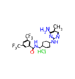 Cc1cnc(NC2CCC(CNC(=O)c3cc(C(F)(F)F)cc(C(F)(F)F)c3)CC2)nc1N.Cl